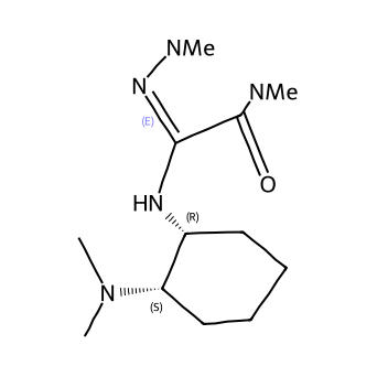 CN/N=C(/N[C@@H]1CCCC[C@@H]1N(C)C)C(=O)NC